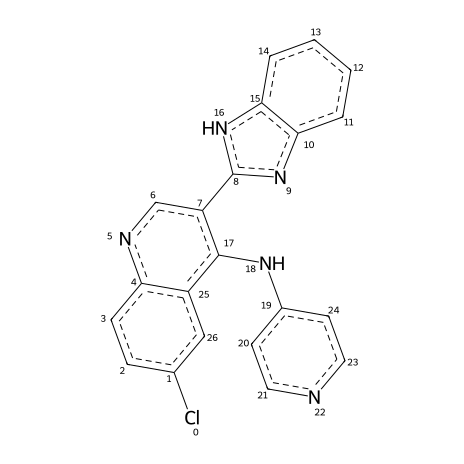 Clc1ccc2ncc(-c3nc4ccccc4[nH]3)c(Nc3ccncc3)c2c1